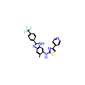 Cc1cc2nc(-c3ccc(C(F)(F)F)cc3)[nH]c2cc1Nc1nc(-c2ccncc2)cs1